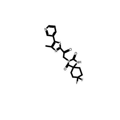 Cc1nc(C(=O)CN2C(=O)NC3(CCC(F)(F)CC3)C2=O)sc1-c1cccnc1